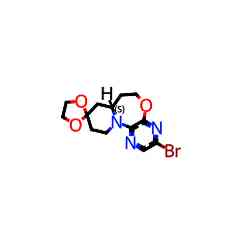 Brc1cnc2c(n1)OCC[C@H]1CC3(CCN21)OCCO3